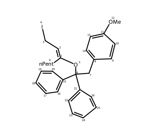 CCCCCC(=CCI)OC(Cc1ccc(OC)cc1)(c1ccccc1)c1ccccc1